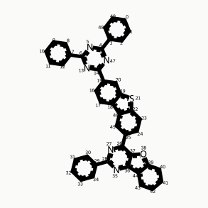 c1ccc(-c2nc(-c3ccccc3)nc(-c3ccc4c(c3)sc3ccc(-c5nc(-c6ccccc6)nc6c5oc5ccccc56)cc34)n2)cc1